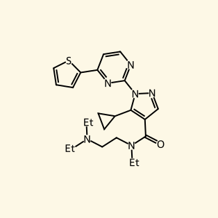 CCN(CC)CCN(CC)C(=O)c1cnn(-c2nccc(-c3cccs3)n2)c1C1CC1